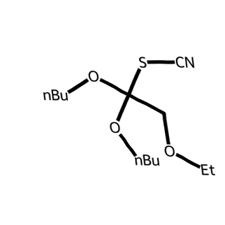 CCCCOC(COCC)(OCCCC)SC#N